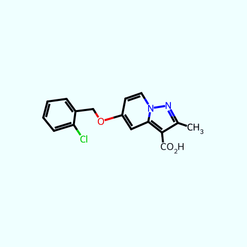 Cc1nn2ccc(OCc3ccccc3Cl)cc2c1C(=O)O